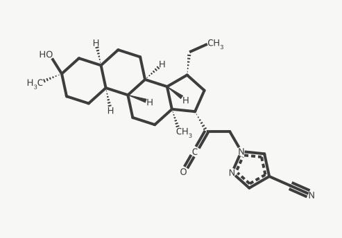 CC[C@@H]1C[C@H](C(=C=O)Cn2cc(C#N)cn2)[C@@]2(C)CC[C@H]3[C@@H](CC[C@@H]4C[C@](C)(O)CC[C@@H]43)[C@H]12